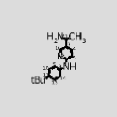 CC(N)c1ccc(Nc2ccc(C(C)(C)C)cc2)nc1